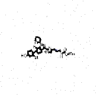 CCc1cc(O)ccc1-c1ccc2c(-c3nc(/C=C/CNC(=O)OC(C)(C)C)c[nH]3)nn(C3CCCCO3)c2c1F